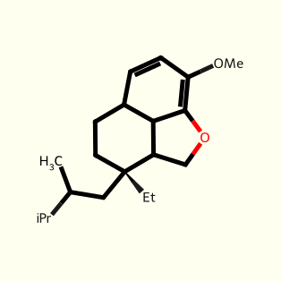 CC[C@@]1(CC(C)C(C)C)CCC2C=CC(OC)=C3OCC1C32